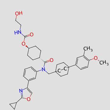 COc1ccc(C23CCC(CN(c4cccc(-c5coc(C6CC6)n5)c4)C(=O)[C@H]4CC[C@H](OC(=O)NCCO)CC4)(CC2)CC3)cc1C